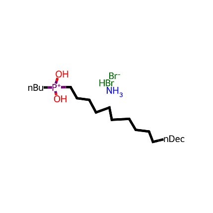 Br.CCCCCCCCCCCCCCCCCCCC[P+](O)(O)CCCC.N.[Br-]